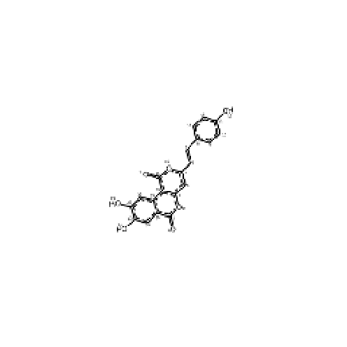 O=c1oc2cc(/C=C/c3ccc(O)cc3)oc(=O)c2c2cc(O)c(O)cc12